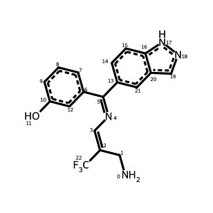 NC/C(=C\N=C(c1cccc(O)c1)c1ccc2[nH]ncc2c1)C(F)(F)F